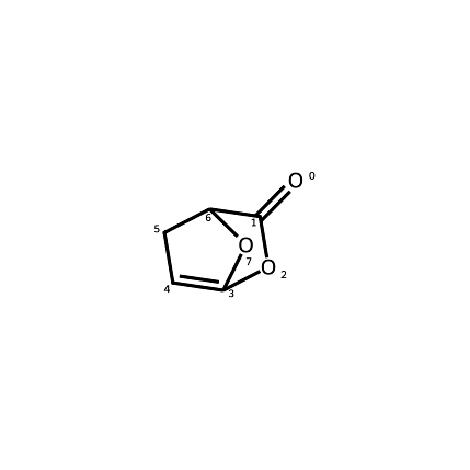 O=C1OC2=CCC1O2